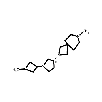 CN1CCC2(CC1)CN([C@@H]1CCN(C3CN(C)C3)C1)C2